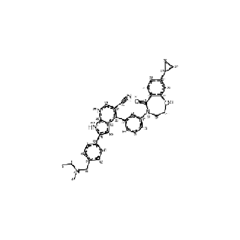 CCN(C)Cc1ccc(-c2cc3c(-c4cccc(N5CCOc6cc(C7CC7)ccc6C5=O)c4)c(C#N)cnc3[nH]2)cc1